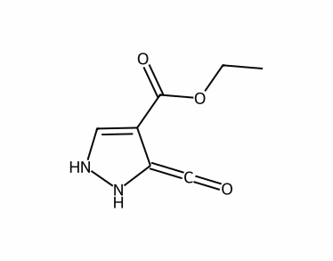 CCOC(=O)C1=CNNC1=C=O